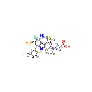 Cc1ccc(Sn2c(-c3cccc(N4CC(C(=O)O)C4)c3)c(-c3ccsc3C#N)c3cc(F)c(P)cc32)cc1